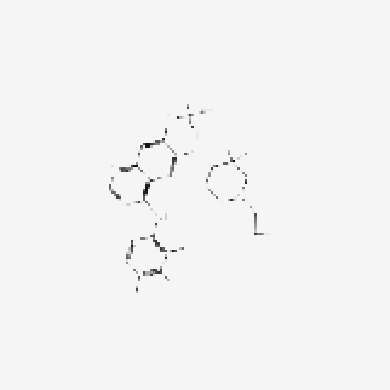 [2H]C([2H])([2H])Oc1cc2ncnc(Nc3ccc(F)c(Cl)c3F)c2cc1O[C@H]1CCN(C2COC2)CC1(F)F